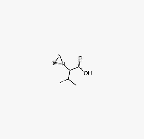 CC(C)C(C(=O)O)n1ss1